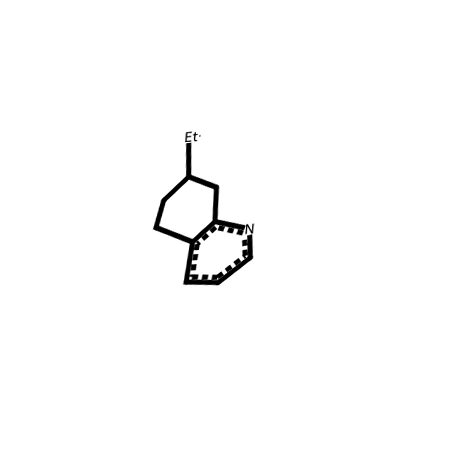 C[CH]C1CCc2cccnc2C1